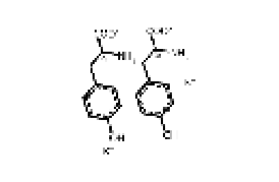 N[C@@H](Cc1ccc(O)cc1)C(=O)[O-].N[C@@H](Cc1ccc(O)cc1)C(=O)[O-].[K+].[K+]